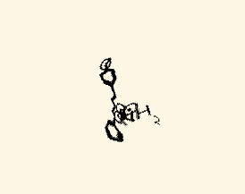 COc1ccc(CCC(CCc2ccccc2)OS(N)(=O)=O)cc1